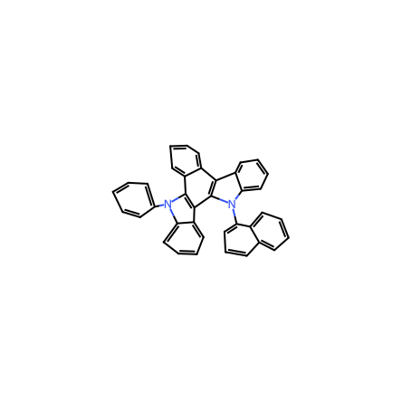 c1ccc(-n2c3ccccc3c3c2c2ccccc2c2c4ccccc4n(-c4cccc5ccccc45)c23)cc1